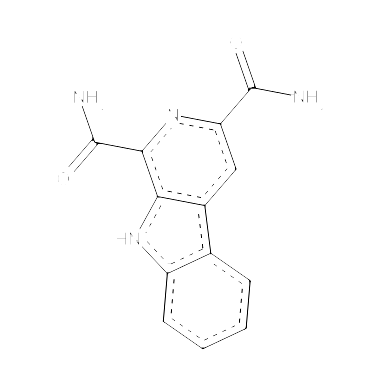 NC(=O)c1cc2c([nH]c3ccccc32)c(C(N)=O)n1